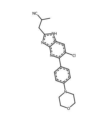 CC(C#N)Cc1nc2nc(-c3ccc(N4CCOCC4)cc3)c(Cl)cc2[nH]1